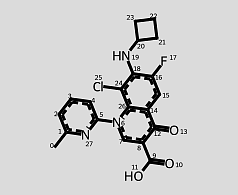 Cc1cccc(-n2cc(C(=O)O)c(=O)c3cc(F)c(NC4CCC4)c(Cl)c32)n1